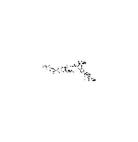 COC(=O)C(C)CC(=O)c1cc2cc(OC)c(OCCCOc3cc4cc(C(=O)CC(C)C(=O)O)sc4cc3OC)cc2s1